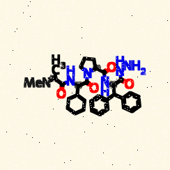 CN[C@@H](C)C(=O)N[C@H](C(=O)N1CCC[C@H]1C(=O)N[C@H](C(=O)NN)C(c1ccccc1)c1ccccc1)C1CCCCC1